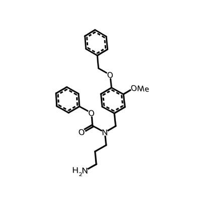 COc1cc(CN(CCCN)C(=O)Oc2ccccc2)ccc1OCc1ccccc1